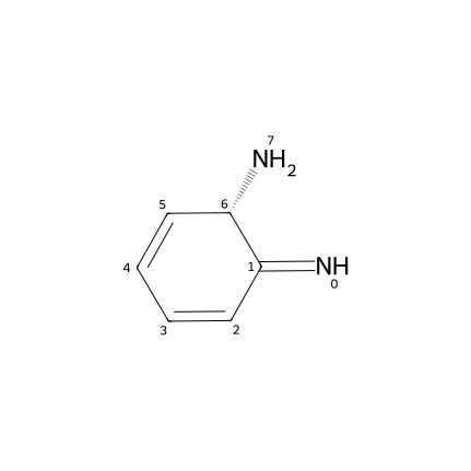 N=C1C=CC=C[C@@H]1N